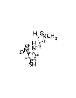 CN(C)CCCNc1ccc(S)cc1[N+](=O)[O-]